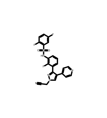 N#CCn1cc(-c2ccncc2)c(-c2cccc(NS(=O)(=O)c3cc(F)ccc3F)c2F)n1